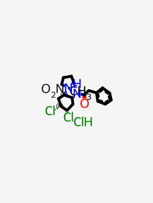 C[N+]1([C@]2([N+](=O)[O-])C[C@@H](Cl)C(Cl)CC2NC(=O)Cc2ccccc2)CCCC1.Cl